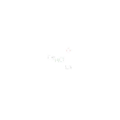 Cl.[La].[O]=[Ce]